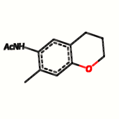 CC(=O)Nc1cc2c(cc1C)OCCC2